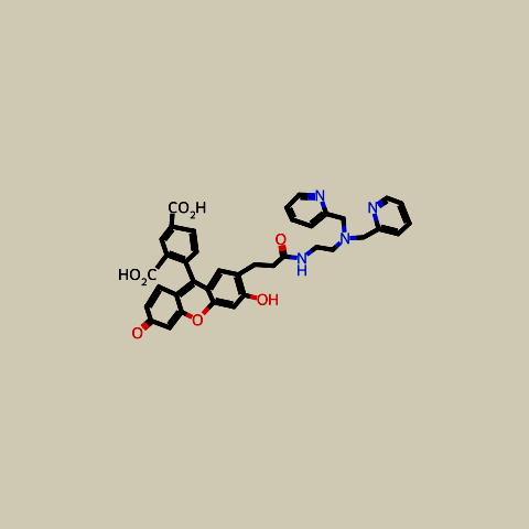 O=C(CCc1cc2c(-c3ccc(C(=O)O)cc3C(=O)O)c3ccc(=O)cc-3oc2cc1O)NCCN(Cc1ccccn1)Cc1ccccn1